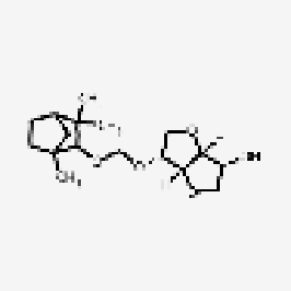 CC12CCC(C1)C(C)(C)C2OCO[C@@H]1CO[C@H]2[C@@H]1OC[C@@H]2O